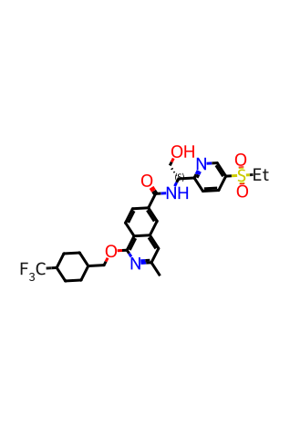 CCS(=O)(=O)c1ccc([C@@H](CO)NC(=O)c2ccc3c(OCC4CCC(C(F)(F)F)CC4)nc(C)cc3c2)nc1